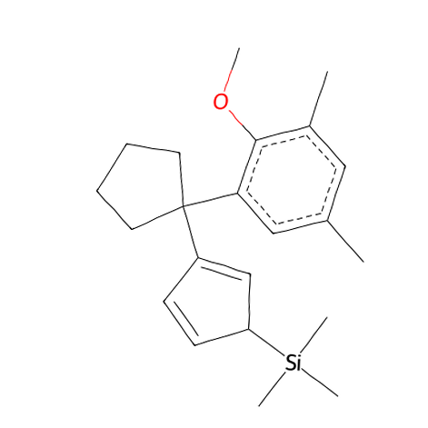 COc1c(C)cc(C)cc1C1(C2=CC([Si](C)(C)C)C=C2)CCCC1